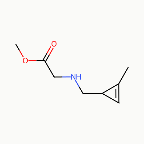 COC(=O)CNCC1C=C1C